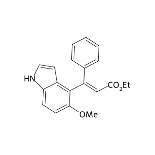 CCOC(=O)/C=C(\c1ccccc1)c1c(OC)ccc2[nH]ccc12